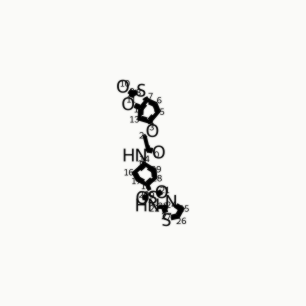 O=C(COc1ccc2sc(=O)oc2c1)Nc1ccc(S(=O)(=O)Nc2nccs2)cc1